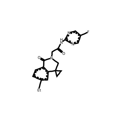 CCc1ccc2c(c1)C1(CC1)CN(CC(=O)Nc1ncc(F)cn1)C2=O